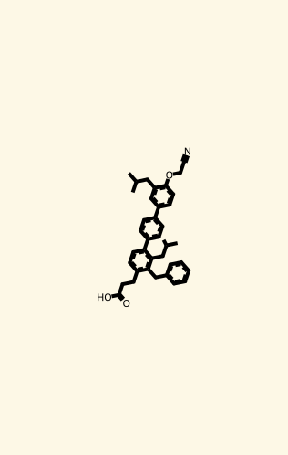 CC(C)Cc1cc(-c2ccc(-c3ccc(CCC(=O)O)c(Cc4ccccc4)c3CC(C)C)cc2)ccc1OCC#N